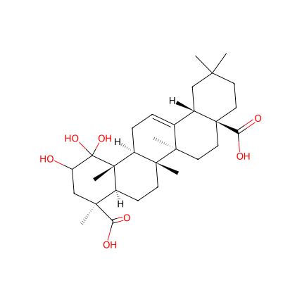 CC1(C)CC[C@]2(C(=O)O)CC[C@]3(C)C(=CC[C@@H]4[C@]5(C)[C@@H](CC[C@]43C)[C@@](C)(C(=O)O)CC(O)C5(O)O)[C@@H]2C1